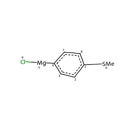 CSc1cc[c]([Mg][Cl])cc1